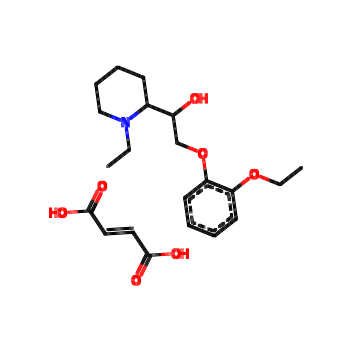 CCOc1ccccc1OCC(O)C1CCCCN1CC.O=C(O)C=CC(=O)O